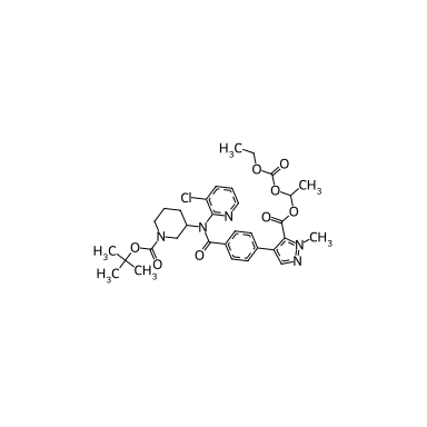 CCOC(=O)OC(C)OC(=O)c1c(-c2ccc(C(=O)N(c3ncccc3Cl)C3CCCN(C(=O)OC(C)(C)C)C3)cc2)cnn1C